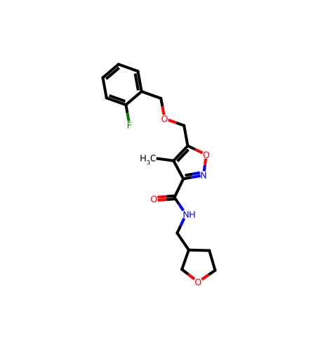 Cc1c(C(=O)NCC2CCOC2)noc1COCc1ccccc1F